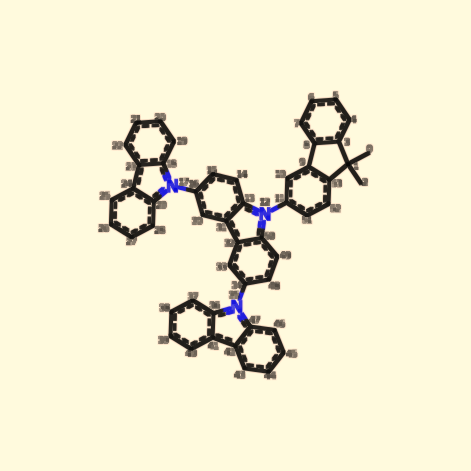 CC1(C)c2ccccc2-c2cc(-n3c4ccc(-n5c6ccccc6c6ccccc65)cc4c4cc(-n5c6ccccc6c6ccccc65)ccc43)ccc21